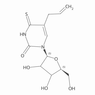 C=CCc1cn([C@H]2O[C@@H](CO)C(O)C2O)c(=O)[nH]c1=S